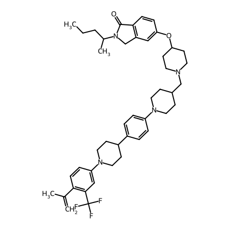 C=C(C)c1ccc(N2CCC(c3ccc(N4CCC(CN5CCC(Oc6ccc7c(c6)CN(C(C)CCC)C7=O)CC5)CC4)cc3)CC2)cc1C(F)(F)F